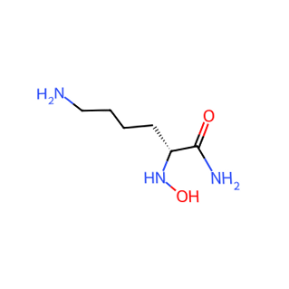 NCCCC[C@@H](NO)C(N)=O